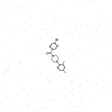 Cc1cnc(N2CCN(C(=O)c3cnc(Br)cn3)CC2)c(C)c1